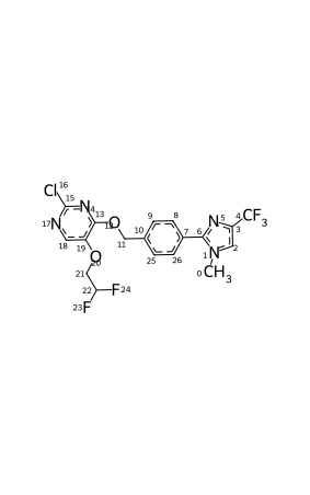 Cn1cc(C(F)(F)F)nc1-c1ccc(COc2nc(Cl)ncc2OCC(F)F)cc1